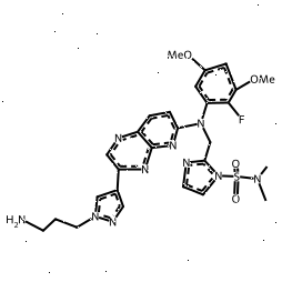 COc1cc(OC)c(F)c(N(Cc2nccn2S(=O)(=O)N(C)C)c2ccc3ncc(-c4cnn(CCCN)c4)nc3n2)c1